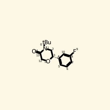 CC(C)(C)N1C[C@H](c2cccc(F)c2)OCC1=O